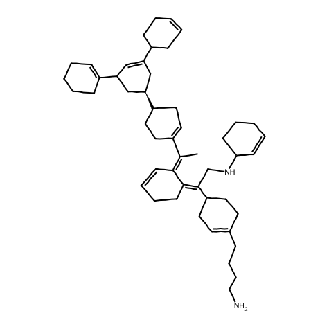 C/C(C1=CCC([C@@H]2CC(C3CC=CCC3)=CC(C3=CCCCC3)C2)CC1)=C1/C=CCC/C1=C(/CNC1C=CCCC1)C1CC=C(CCCCN)CC1